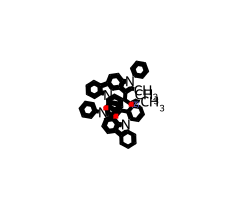 C/C=C\Cc1c(C)n(-c2ccccc2)c2ccc3c4ccccc4n(-c4cccc(C5=C(n6c7c(c8ccc9c(c%10ccccc%10n9-c9ccccc9)c86)CCC=C7)C=CC(C)C5)c4)c3c12